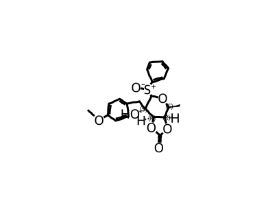 COc1ccc(C[C@@]2(O)C([S+]([O-])c3ccccc3)O[C@@H](C)[C@H]3OC(=O)O[C@H]32)cc1